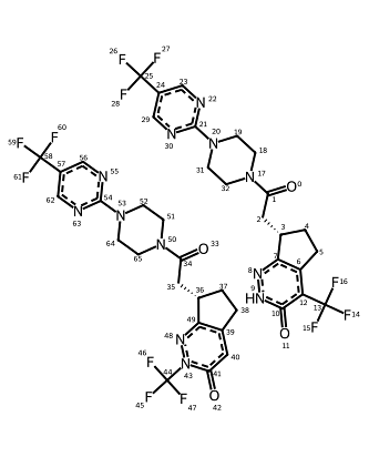 O=C(C[C@@H]1CCc2c1n[nH]c(=O)c2C(F)(F)F)N1CCN(c2ncc(C(F)(F)F)cn2)CC1.O=C(C[C@@H]1CCc2cc(=O)n(C(F)(F)F)nc21)N1CCN(c2ncc(C(F)(F)F)cn2)CC1